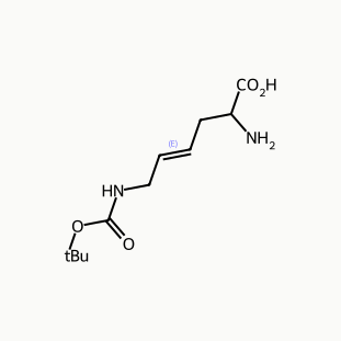 CC(C)(C)OC(=O)NC/C=C/CC(N)C(=O)O